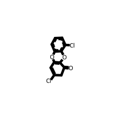 O=C1CC(Cl)=CC2=C1Oc1c(Cl)cccc1O2